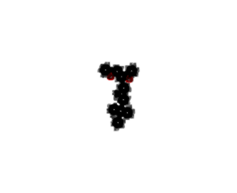 CC1(C)c2cc(-c3c4ccccc4c(-c4ccccc4)c4ccccc34)ccc2-c2ccc(-c3cc4c(ccc5c6ccccc6oc54)c4c3oc3ccccc34)cc21